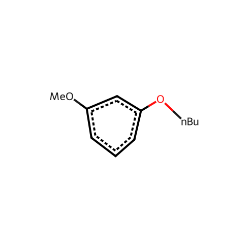 CCCCOc1cccc(OC)c1